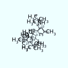 CCCCC(C)(Pc1ccc(C)cc1CNC(C)(C)C)c1cc(C(C)(C)C)cc(C(C)(C)C)c1O